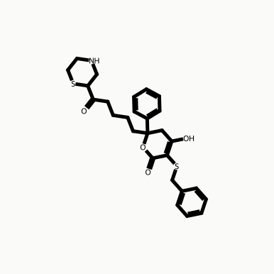 O=C1OC(CCCCC(=O)C2CNCCS2)(c2ccccc2)CC(O)=C1SCc1ccccc1